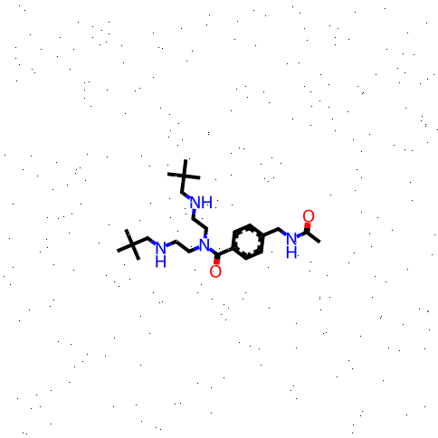 CC(=O)NCc1ccc(C(=O)N(CCNCC(C)(C)C)CCNCC(C)(C)C)cc1